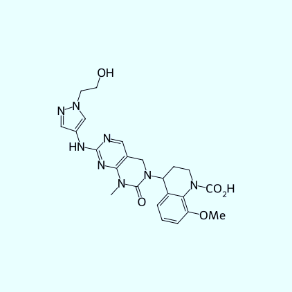 COc1cccc2c1N(C(=O)O)CCC2N1Cc2cnc(Nc3cnn(CCO)c3)nc2N(C)C1=O